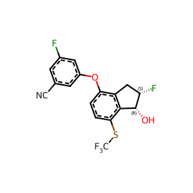 N#Cc1cc(F)cc(Oc2ccc(SC(F)(F)F)c3c2C[C@H](F)[C@@H]3O)c1